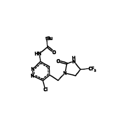 CC(C)(C)C(=O)Nc1cc(CN2CC(C(F)(F)F)NC2=O)c(Cl)nn1